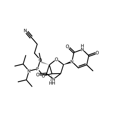 CC[C@@]12O[C@@H](n3cc(C)c(=O)[nH]c3=O)C(NC1=O)[C@H]2OP(OCCC#N)N(C(C)C)C(C)C